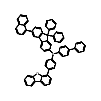 c1ccc(-c2ccc(N(c3ccc(-c4cccc5c4oc4ccccc45)cc3)c3ccc4c(c3)C(c3ccccc3)(c3ccccc3)c3ccc(-c5cccc6ccccc56)cc3-4)cc2)cc1